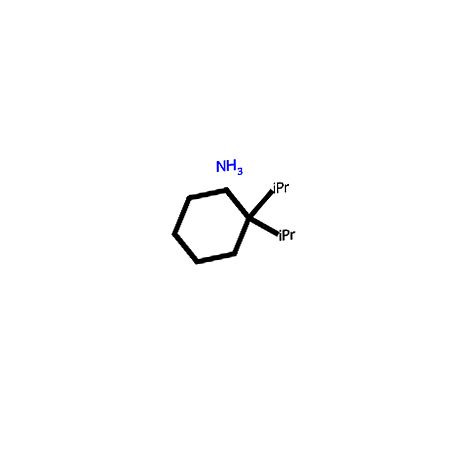 CC(C)C1(C(C)C)CCCCC1.N